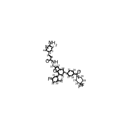 Nc1ccc(C=CC(=O)NCc2cc3cc(-c4ccc(C(=O)N5CCC(F)(F)CC5)cc4)cc(-c4cc(F)ccc4F)c3o2)cn1